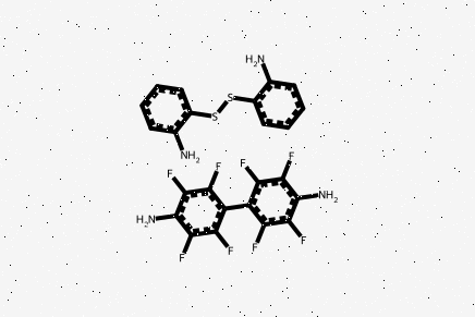 Nc1c(F)c(F)c(-c2c(F)c(F)c(N)c(F)c2F)c(F)c1F.Nc1ccccc1SSc1ccccc1N